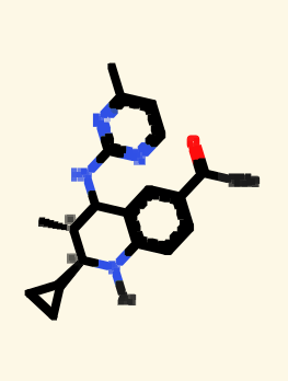 CNC(=O)c1ccc2c(c1)C(Nc1nccc(C)n1)[C@@H](C)[C@H](C1CC1)N2C(C)=O